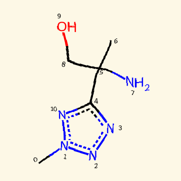 Cn1nnc(C(C)(N)CO)n1